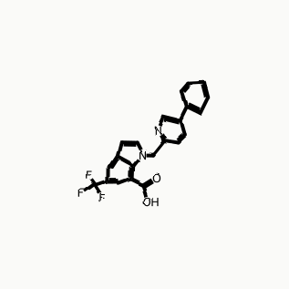 O=C(O)c1cc(C(F)(F)F)cc2ccn(Cc3ccc(-c4ccccc4)cn3)c12